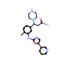 Cc1ccc(C(CC(N)=O)N2CCNCC2)cc1Nc1ncc(-c2cccnc2)o1